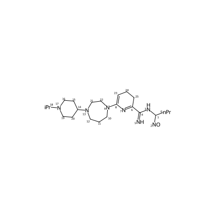 CCCC(N=O)NC(=N)C1=NC(N2CCCN(C3CCN(C(C)C)CC3)CC2)=CCC1